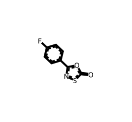 O=c1oc(-c2ccc(F)cc2)ns1